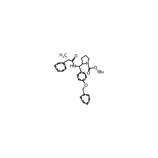 C[C@H](C(=O)NC(c1ccc(OCc2ccccc2)cc1)C1CCCN1C(=O)OC(C)(C)C)c1ccccc1